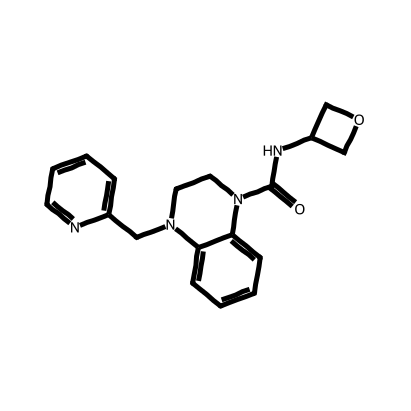 O=C(NC1COC1)N1CCN(Cc2ccccn2)c2ccccc21